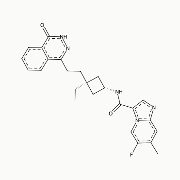 CC[C@]1(CCc2n[nH]c(=O)c3ccccc23)C[C@H](NC(=O)c2cnc3cc(C)c(F)cn23)C1